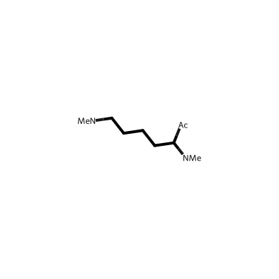 CNCCCCC(NC)C(C)=O